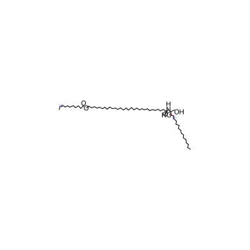 C/C=C\CCCCCCCC(=O)OCCCCCCCCCCCCCCCCCCCCCCCCCCCCCC(=O)NC(CO)C(O)/C=C/CCCCCCCCCCCCC